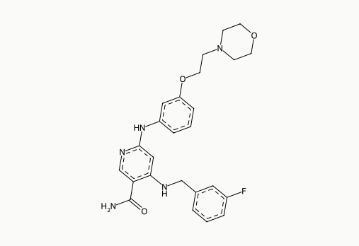 NC(=O)c1cnc(Nc2cccc(OCCN3CCOCC3)c2)cc1NCc1cccc(F)c1